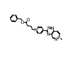 CP1C=Cc2nnc(-c3cc[n+](CCCC(=O)OCc4ccccc4)cc3)nc2C=N1